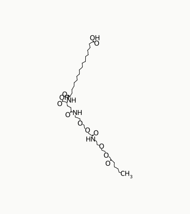 CCCCCC(=O)COCCOCCNC(=O)COCCOCCNC(=O)CC[C@H](NC(=O)CCCCCCCCCCCCCCCCC(=O)O)C(=O)O